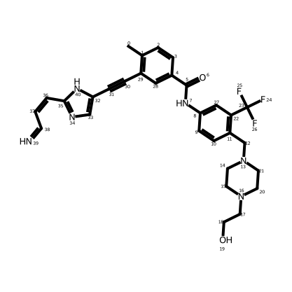 Cc1ccc(C(=O)Nc2ccc(CN3CCN(CCO)CC3)c(C(F)(F)F)c2)cc1C#Cc1cnc(/C=C\C=N)[nH]1